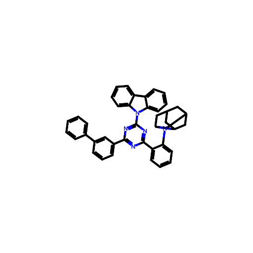 c1ccc(-c2cccc(-c3nc(-c4ccccc4N4C5CC6CC(C5)CC4C6)nc(-n4c5ccccc5c5ccccc54)n3)c2)cc1